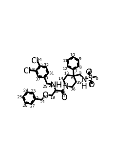 CS(=O)(=O)NCC1(c2ccccc2)CCN(C(=O)C(COCc2ccccc2)NCc2ccc(Cl)c(Cl)c2)CC1